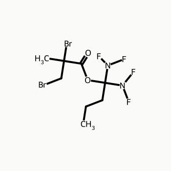 CCCC(OC(=O)C(C)(Br)CBr)(N(F)F)N(F)F